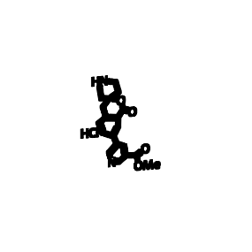 COC(=O)c1cncc(-c2ccc3c(c2)C(=O)OC2(CCNCC2)C3)c1.Cl